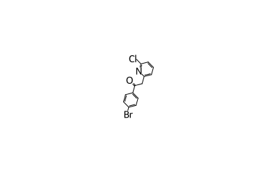 O=C(Cc1cccc(Cl)n1)c1ccc(Br)cc1